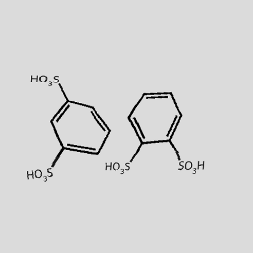 O=S(=O)(O)c1cccc(S(=O)(=O)O)c1.O=S(=O)(O)c1ccccc1S(=O)(=O)O